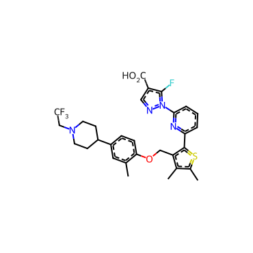 Cc1cc(C2CCN(CC(F)(F)F)CC2)ccc1OCc1c(-c2cccc(-n3ncc(C(=O)O)c3F)n2)sc(C)c1C